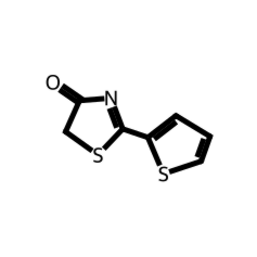 O=C1CSC(c2cccs2)=N1